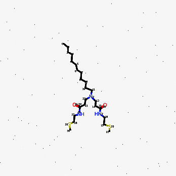 CCCCCCCCCCCCN(CCC(=O)NCCSC)CCC(=O)NCCSC